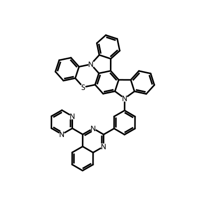 C1=CC2N=C(c3cccc(-n4c5ccccc5c5c6c7ccccc7n7c6c(cc54)Sc4ccccc4-7)c3)N=C(c3ncccn3)C2C=C1